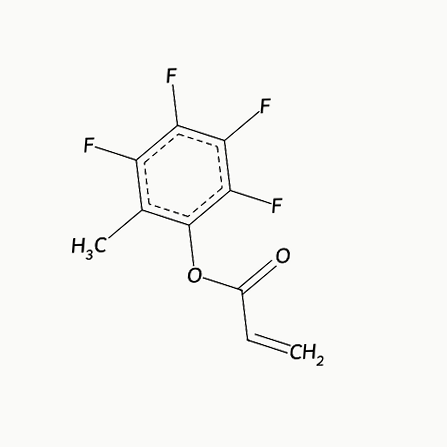 C=CC(=O)Oc1c(C)c(F)c(F)c(F)c1F